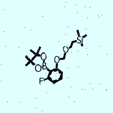 CC1(C)OB(c2c(F)cccc2OCOCC[Si](C)(C)C)OC1(C)C